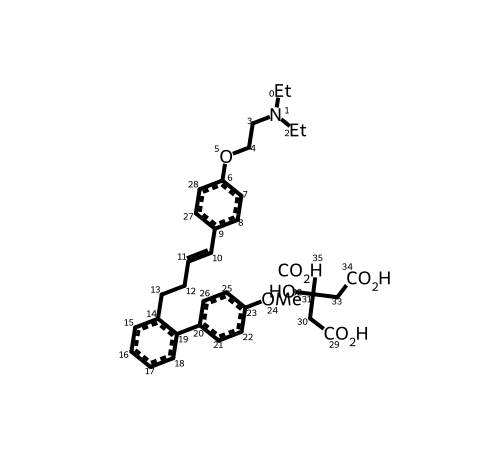 CCN(CC)CCOc1ccc(C=CCCc2ccccc2-c2ccc(OC)cc2)cc1.O=C(O)CC(O)(CC(=O)O)C(=O)O